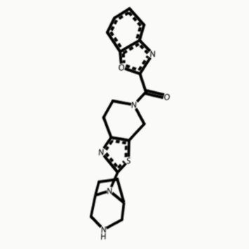 O=C(c1nc2ccccc2o1)N1CCc2nc(N3C4CCC3CNC4)sc2C1